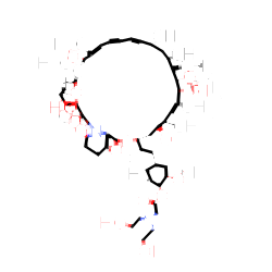 C=C1[C@H](C)C[C@H](C)/C=C/C=C/C=C(\C)[C@@H](OC)C[C@@H]2CC[C@@H](C)[C@@](O)(O2)C(=O)C(=O)N2CCCC[C@H]2C(=O)O[C@H]([C@H](C)C[C@@H]2CC[C@@H](OC(=O)CN(CCO)CCO)[C@H](OC)C2)CC(=O)[C@H](C)/C=C(\C)[C@@H](O)[C@H]1OC